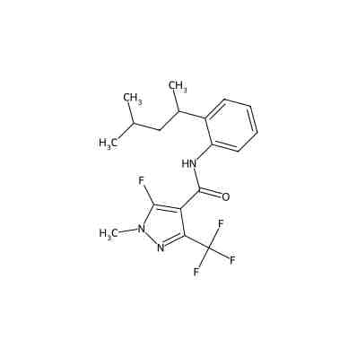 CC(C)CC(C)c1ccccc1NC(=O)c1c(C(F)(F)F)nn(C)c1F